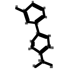 Cc1cccc(-c2cnc(N(C)C)nc2)c1